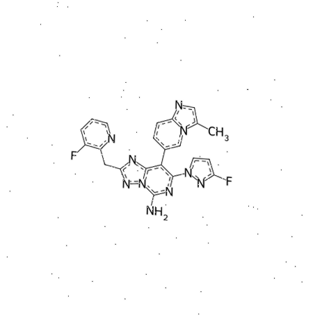 Cc1cnc2ccc(-c3c(-n4ccc(F)n4)nc(N)n4nc(Cc5ncccc5F)nc34)cn12